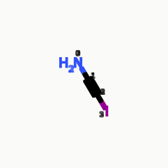 NC#CI